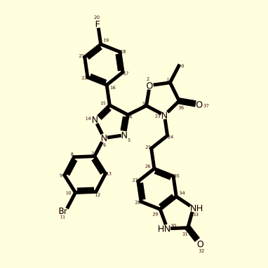 CC1OC(c2nn(-c3ccc(Br)cc3)nc2-c2ccc(F)cc2)N(CCc2ccc3[nH]c(=O)[nH]c3c2)C1=O